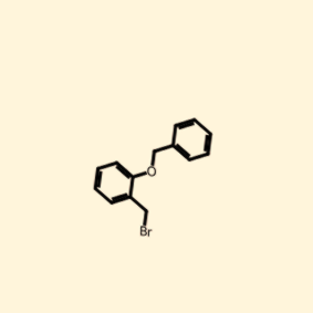 BrCc1ccccc1OCc1ccccc1